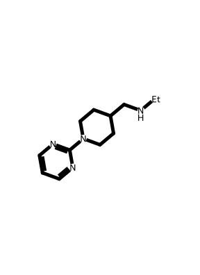 CCNCC1CCN(c2ncccn2)CC1